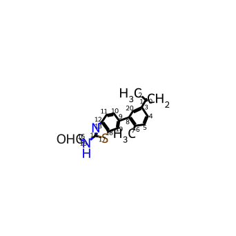 C=C(C)c1ccc(C)c(-c2ccc3nc(NC=O)sc3c2)c1